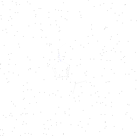 CCn1ccc(C(C)C)c1